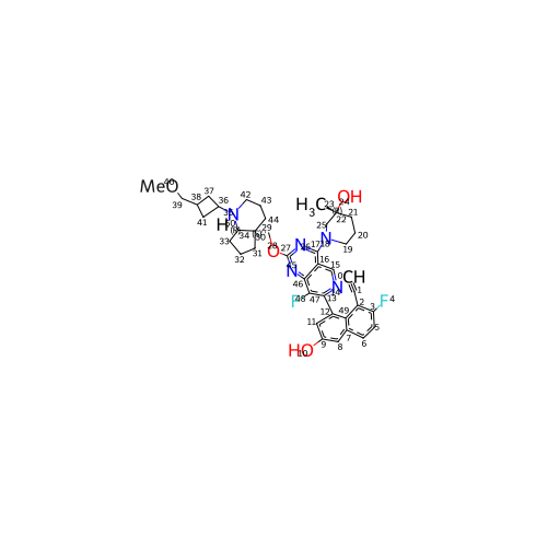 C#Cc1c(F)ccc2cc(O)cc(-c3ncc4c(N5CCC[C@@](C)(O)C5)nc(OC[C@]56CCC[C@H]5N(C5CC(COC)C5)CCC6)nc4c3F)c12